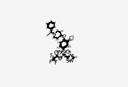 C[C@@H](c1ccccc1)N1CCC(Oc2ccc(S(=O)(=O)N(OC(=O)C(F)(F)F)c3ncns3)cc2Cl)CC1